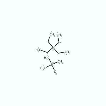 CC[N+](CC)(CC)CC.C[Si](C)(C)[O-]